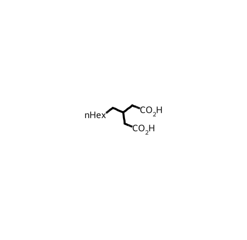 CCCCCCCC(CC(=O)O)CC(=O)O